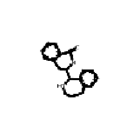 O=C1[N]C(C2NCCCc3ccccc32)Cc2ccccc21